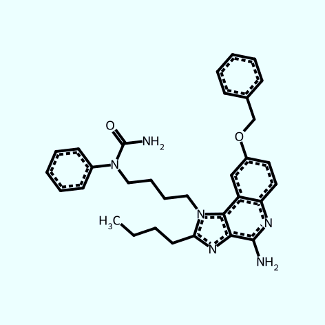 CCCCc1nc2c(N)nc3ccc(OCc4ccccc4)cc3c2n1CCCCN(C(N)=O)c1ccccc1